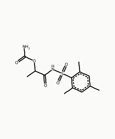 Cc1cc(C)c(S(=O)(=O)NC(=O)C(C)OC(N)=O)c(C)c1